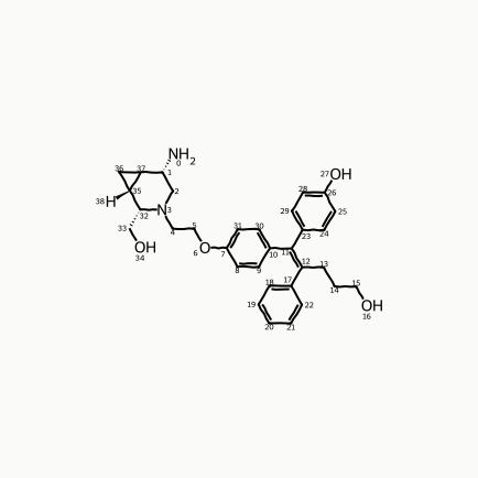 N[C@@H]1CN(CCOc2ccc(/C(=C(/CCCO)c3ccccc3)c3ccc(O)cc3)cc2)[C@H](CO)[C@@H]2CC12